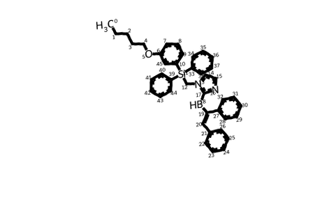 CCCCCOc1cccc([Si](Cn2ccnc2BC(=Cc2ccccc2)c2ccccc2)(c2ccccc2)c2ccccc2)c1